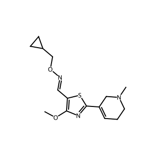 COc1nc(C2=CCCN(C)C2)sc1C=NOCC1CC1